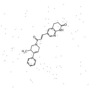 CC1CN(C(=O)/C=C/c2cnc3c(c2)CCC(=O)N3)CC=C1c1ccccc1